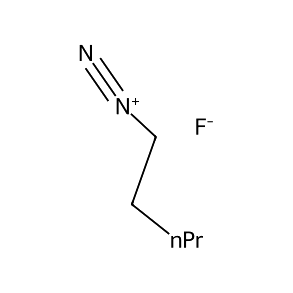 CCCCC[N+]#N.[F-]